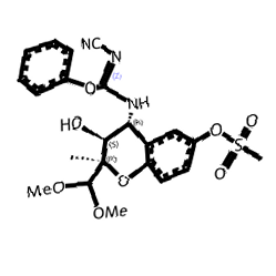 COC(OC)[C@]1(C)Oc2ccc(OS(C)(=O)=O)cc2[C@@H](N/C(=N/C#N)Oc2ccccc2)[C@@H]1O